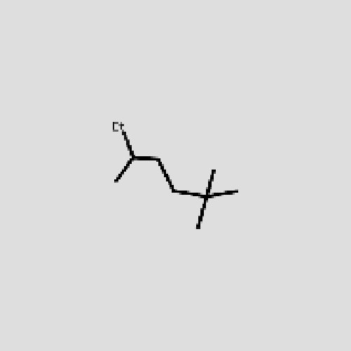 CC[C](C)CCC(C)(C)C